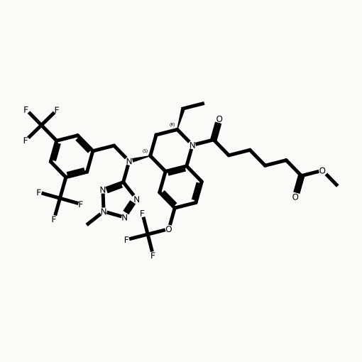 CC[C@@H]1C[C@H](N(Cc2cc(C(F)(F)F)cc(C(F)(F)F)c2)c2nnn(C)n2)c2cc(OC(F)(F)F)ccc2N1C(=O)CCCCC(=O)OC